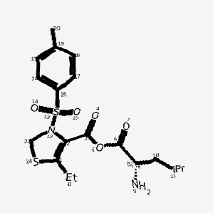 CCC1=C(C(=O)OC(=O)[C@@H](N)CC(C)C)N(S(=O)(=O)c2ccc(C)cc2)CS1